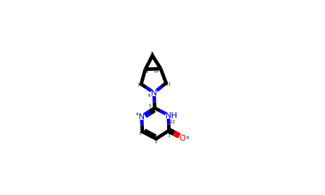 O=c1[c]cnc(N2CC3CC3C2)[nH]1